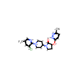 N#Cc1ccc(O[C@H]2CCN(C3CCN(c4ncc(C(F)(F)F)cc4Cl)CC3)C2=O)nn1